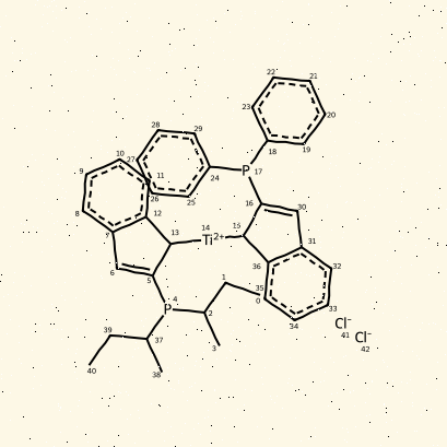 CCC(C)P(C1=Cc2ccccc2[CH]1[Ti+2][CH]1C(P(c2ccccc2)c2ccccc2)=Cc2ccccc21)C(C)CC.[Cl-].[Cl-]